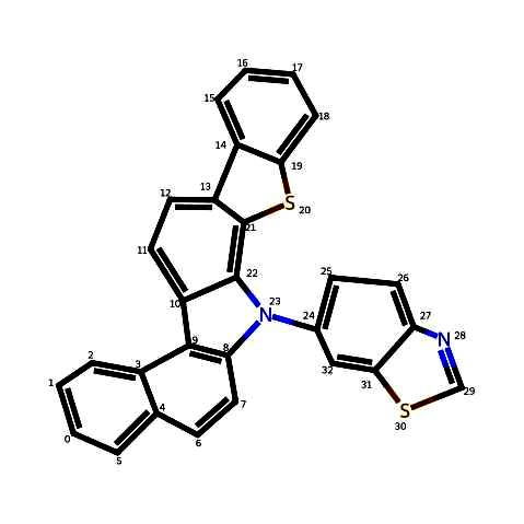 c1ccc2c(c1)ccc1c2c2ccc3c4ccccc4sc3c2n1-c1ccc2ncsc2c1